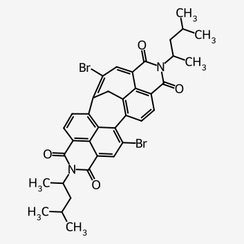 CC(C)CC(C)N1C(=O)C2=CC(Br)=C3Cc4c(ccc(c42)C1=O)-c1c(Br)cc2c4c(ccc3c14)C(=O)N(C(C)CC(C)C)C2=O